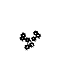 c1ccc2c(-c3ccc(N(c4ccc(-c5cccc6ccccc56)cc4)c4ccnc5c4oc4ccccc45)cc3)cccc2c1